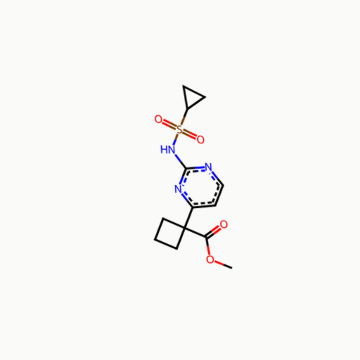 COC(=O)C1(c2ccnc(NS(=O)(=O)C3CC3)n2)CCC1